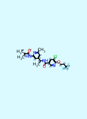 Cc1cc(C(C)NC(=O)c2cnc(OCCC(F)(F)F)c(Cl)c2)cc(NC(=O)C(C)C)n1